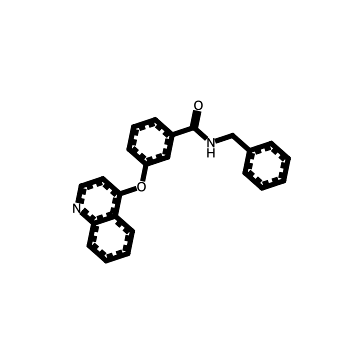 O=C(NCc1ccccc1)c1cccc(Oc2ccnc3ccccc23)c1